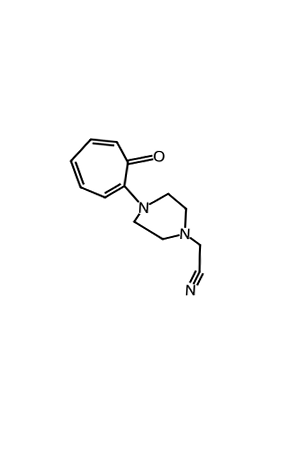 N#CCN1CCN(c2cccccc2=O)CC1